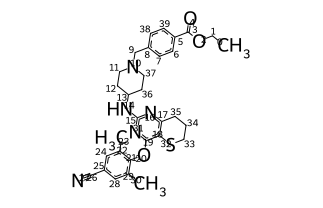 CCOC(=O)c1ccc(CN2CCC(Nc3nc4c(c(Oc5c(C)cc(C#N)cc5C)n3)SCCC4)CC2)cc1